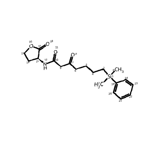 C[Si](C)(CCCCC(=O)CC(=O)N[C@H]1CCOC1=O)c1ccccc1